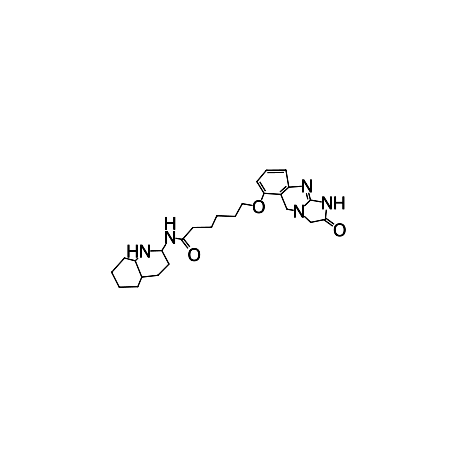 O=C1CN2Cc3c(cccc3OCCCCCC(=O)NC3CCC4CCCCC4N3)N=C2N1